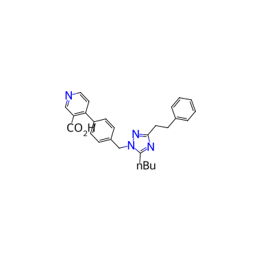 CCCCc1nc(CCc2ccccc2)nn1Cc1ccc(-c2ccncc2C(=O)O)cc1